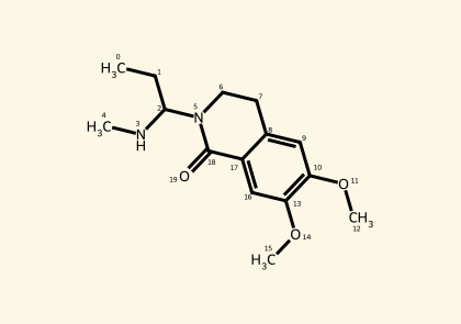 CCC(NC)N1CCc2cc(OC)c(OC)cc2C1=O